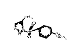 Cc1ccc(S(=O)(=O)n2nncc2C)cc1